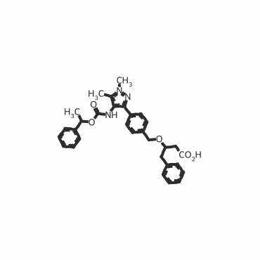 Cc1c(NC(=O)OC(C)c2ccccc2)c(-c2ccc(COC(CC(=O)O)Cc3ccccc3)cc2)nn1C